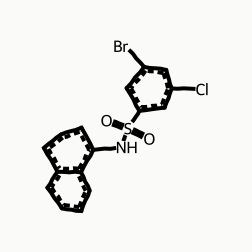 O=S(=O)(Nc1cccc2ccccc12)c1cc(Cl)cc(Br)c1